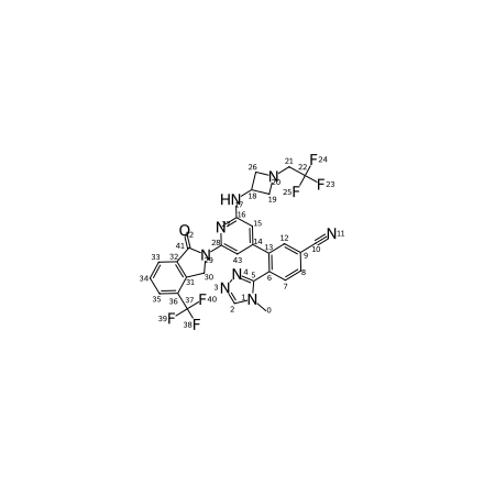 Cn1cnnc1-c1ccc(C#N)cc1-c1cc(NC2CN(CC(F)(F)F)C2)nc(N2Cc3c(cccc3C(F)(F)F)C2=O)c1